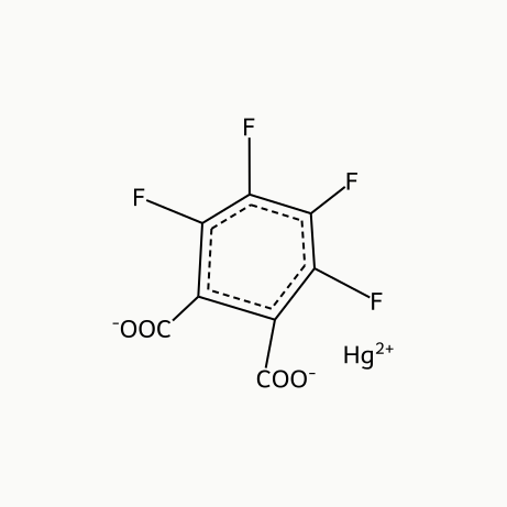 O=C([O-])c1c(F)c(F)c(F)c(F)c1C(=O)[O-].[Hg+2]